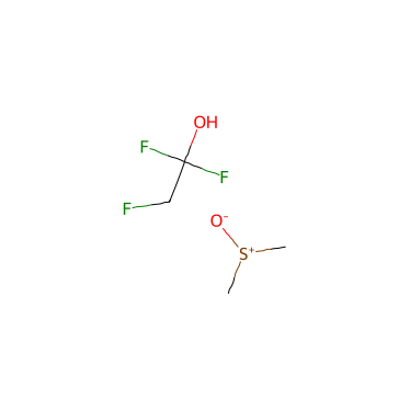 C[S+](C)[O-].OC(F)(F)CF